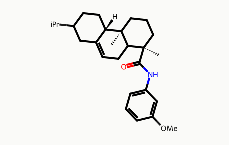 COc1cccc(NC(=O)[C@]2(C)CCC[C@@]3(C)C2CC=C2CC(C(C)C)CC[C@@H]23)c1